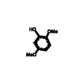 COc1[c]c(O)c(OC)cc1